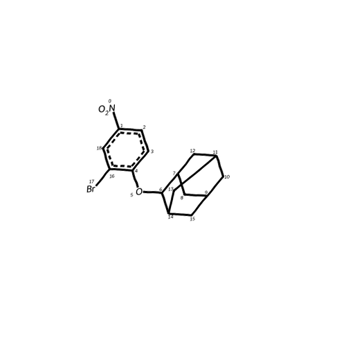 O=[N+]([O-])c1ccc(OC2C3CC4CC(C3)CC2C4)c(Br)c1